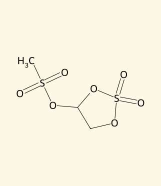 CS(=O)(=O)OC1COS(=O)(=O)O1